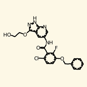 O=C(Nc1cnc2[nH]nc(OCCO)c2c1)c1c(Cl)ccc(OCc2ccccc2)c1F